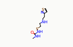 CNC(=O)NSCCNCCc1ccsn1